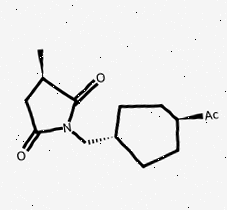 CC(=O)[C@H]1CC[C@H](CN2C(=O)C[C@@H](C)C2=O)CC1